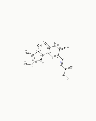 COC(=O)/C=C/c1cn([C@@H]2O[C@H](CO)C(O)[C@@H]2O)c(=O)[nH]c1=O